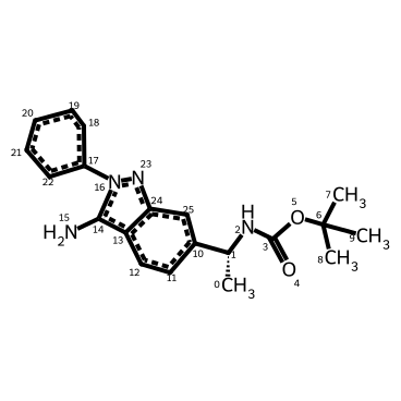 C[C@@H](NC(=O)OC(C)(C)C)c1ccc2c(N)n(-c3ccccc3)nc2c1